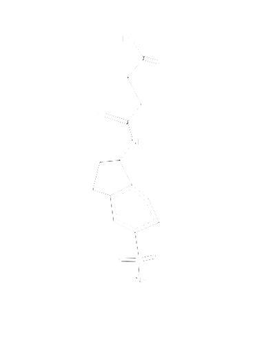 CC(=O)CCC(=O)NC1CCc2cc(S(N)(=O)=O)ccc21